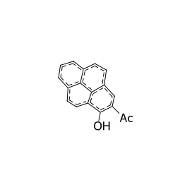 CC(=O)c1cc2ccc3cccc4ccc(c1O)c2c34